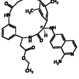 CCOC(=O)CC1NC(=O)[C@H](Nc2ccc3c(N)nccc3c2)c2cc(C)c(c(C)c2)CCCC(=O)Nc2cccc1c2